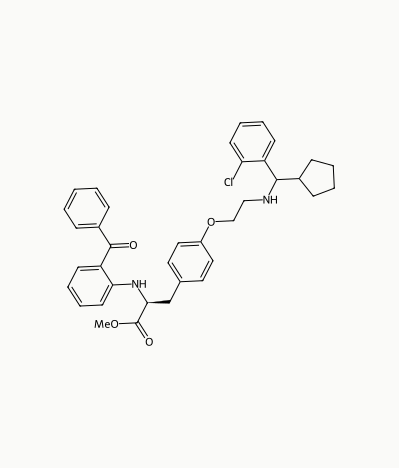 COC(=O)[C@H](Cc1ccc(OCCNC(c2ccccc2Cl)C2CCCC2)cc1)Nc1ccccc1C(=O)c1ccccc1